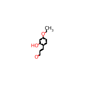 CCOc1ccc(C=CC=O)c(O)c1